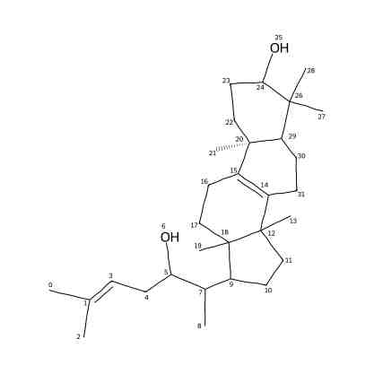 CC(C)=CCC(O)C(C)C1CCC2(C)C3=C(CCC12C)[C@@]1(C)CCC(O)C(C)(C)C1CC3